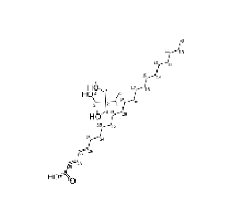 CCC(CO)(CO)CO.CCCCCCCCCCCCCCCCCC=CC=CC(=O)O